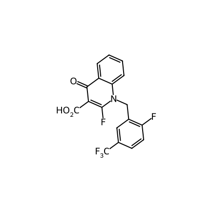 O=C(O)c1c(F)n(Cc2cc(C(F)(F)F)ccc2F)c2ccccc2c1=O